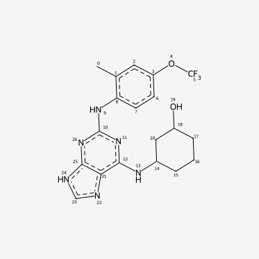 Cc1cc(OC(F)(F)F)ccc1Nc1nc(NC2CCCC(O)C2)c2nc[nH]c2n1